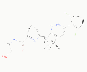 CC(CO)NC(=O)c1cccc([C@@]23CC[C@@H](c4cc(-c5c(F)cccc5F)nnc42)C3(C)C)n1